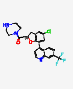 O=C([C@H]1Cc2cc(Cl)cc(-c3ccnc4cc(C(F)(F)F)ccc34)c2O1)N1CCNCC1